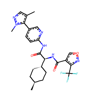 Cc1cnn(C)c1-c1ccc(NC(=O)[C@@H](NC(=O)c2conc2C(F)(F)F)[C@H]2CC[C@H](C)CC2)nc1